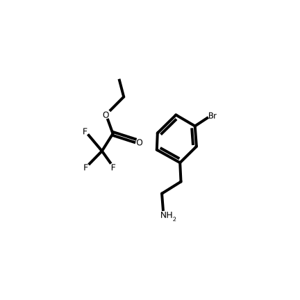 CCOC(=O)C(F)(F)F.NCCc1cccc(Br)c1